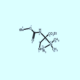 CCOC(=O)[C@@](CN)(NC(=O)OC(C)(C)C)[Si](C)(C)C